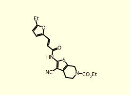 CCOC(=O)N1CCc2c(sc(NC(=O)C=Cc3ccc(CC)o3)c2C#N)C1